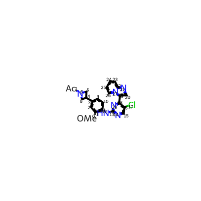 COc1cc(C2CN(C(C)=O)C2)ccc1Nc1ncc(Cl)c(-c2cnc3ccccn23)n1